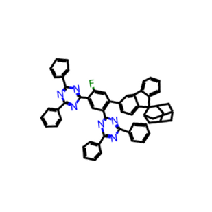 Fc1cc(-c2ccc3c(c2)-c2ccccc2C32C3CC4CC(C3)CC2C4)c(-c2nc(-c3ccccc3)nc(-c3ccccc3)n2)cc1-c1nc(-c2ccccc2)nc(-c2ccccc2)n1